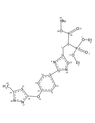 CCOP(=O)(OCC)C(Cc1nc(-c2ccc(Oc3nnc(C)s3)cc2)no1)C(=O)OC(C)(C)C